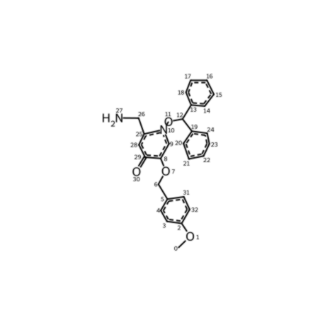 COc1ccc(COc2cn(OC(c3ccccc3)c3ccccc3)c(CN)cc2=O)cc1